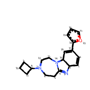 C1=CC2N=C3CCN(C4CCC4)CCN3C2C=C1c1ccco1